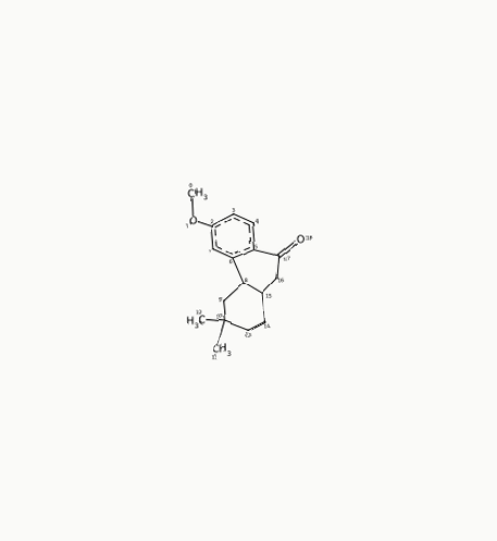 COc1ccc2c(c1)C1CC(C)(C)CCC1CC2=O